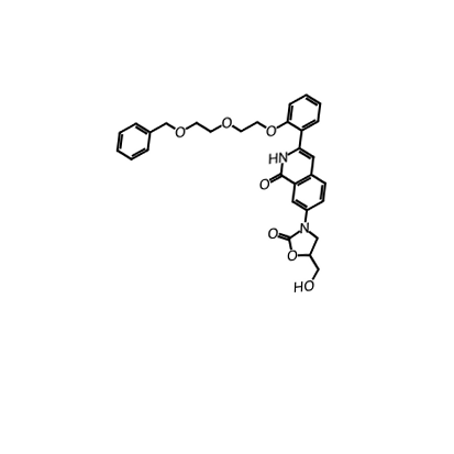 O=C1OC(CO)CN1c1ccc2cc(-c3ccccc3OCCOCCOCc3ccccc3)[nH]c(=O)c2c1